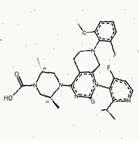 COc1cccc(F)c1N1CCc2c(N3C[C@@H](C)N(C(=O)O)C[C@@H]3C)nc(=O)n(-c3c(F)ccnc3C(C)C)c2C1